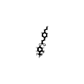 CCCC1CCC(CCC(=O)Oc2ccc(C(F)(F)F)c(F)c2)CC1